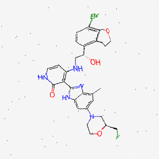 Cc1cc(N2CCO[C@H](CF)C2)cc2[nH]c(-c3c(NC[C@@H](O)c4ccc(Br)c5c4CCO5)cc[nH]c3=O)nc12